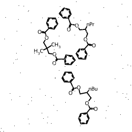 CC(C)(COC(=O)c1ccccc1)COC(=O)c1ccccc1.CCCC(COC(=O)c1ccccc1)COC(=O)c1ccccc1.CCCCC(COC(=O)c1ccccc1)COC(=O)c1ccccc1